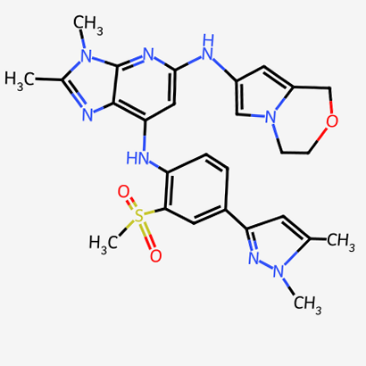 Cc1cc(-c2ccc(Nc3cc(Nc4cc5n(c4)CCOC5)nc4c3nc(C)n4C)c(S(C)(=O)=O)c2)nn1C